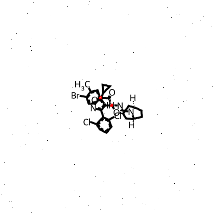 Cc1cc(C(=O)N/N=C/N2[C@@H]3CC[C@H]2C[C@@H](OCc2c(-c4c(Cl)cccc4Cl)noc2C2CC2)C3)ccc1Br